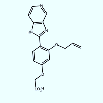 C=CCOc1cc(OCC(=O)O)ccc1-c1nc2cnccc2[nH]1